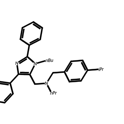 CCCCn1c(-c2ccccc2)nc(-c2ccccc2)c1CN(CCC)Cc1ccc(C(C)C)cc1